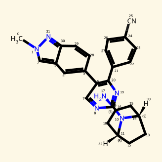 Cn1cc2cc(-c3cnc(N4[C@@H]5CC[C@H]4C[C@H](N)C5)nc3-c3ccc(C#N)cc3)ccc2n1